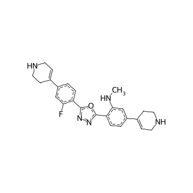 CNc1cc(C2=CCNCC2)ccc1-c1nnc(-c2ccc(C3=CCNCC3)cc2F)o1